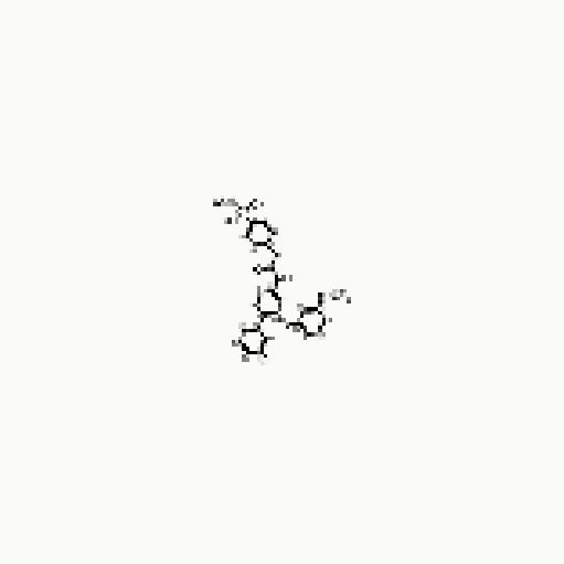 CNS(=O)(=O)c1ccc(CC(=O)Nc2ccc(-c3cccc(F)c3)c(Oc3cccc(OC(F)(F)F)c3)c2)cc1